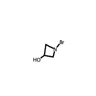 OC1CN(Br)C1